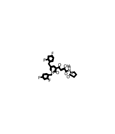 O=C(NN1CCCC1=O)C(O)=CC(=O)c1cc(Cc2ccc(F)cc2F)cn(Cc2ccc(F)cc2F)c1=O